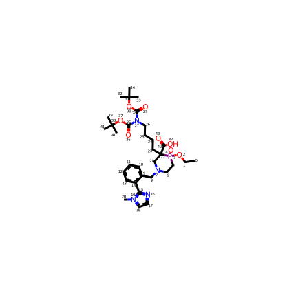 CCOP1(=O)CCN(Cc2ccccc2-c2nccn2C)CC1(CCCCN(C(=O)OC(C)(C)C)C(=O)OC(C)(C)C)C(=O)O